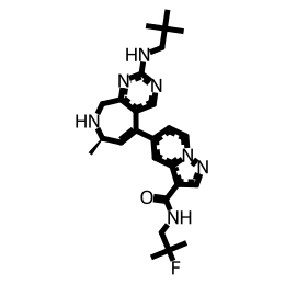 C[C@@H]1C=C(c2ccn3ncc(C(=O)NCC(C)(C)F)c3c2)c2cnc(NCC(C)(C)C)nc2CN1